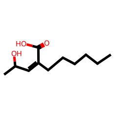 CCCCCCC(=CC(C)O)C(=O)O